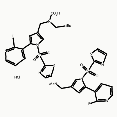 CC(C)(C)CN(Cc1cc(-c2cccnc2F)n(S(=O)(=O)c2nccs2)c1)C(=O)O.CNCc1cc(-c2cccnc2F)n(S(=O)(=O)c2nccs2)c1.Cl